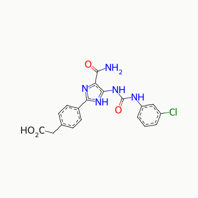 NC(=O)c1nc(-c2ccc(CC(=O)O)cc2)[nH]c1NC(=O)Nc1cccc(Cl)c1